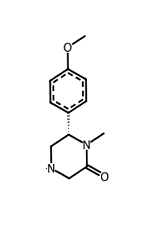 COc1ccc([C@H]2C[N]CC(=O)N2C)cc1